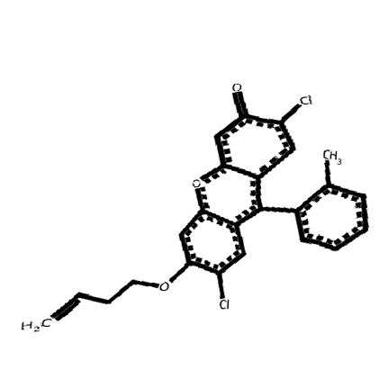 C=CCCOc1cc2oc3cc(=O)c(Cl)cc-3c(-c3ccccc3C)c2cc1Cl